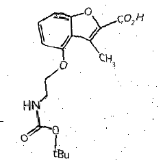 Cc1c(C(=O)O)oc2cccc(OCCNC(=O)OC(C)(C)C)c12